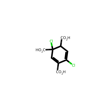 O=C(O)C1=CC(Cl)(C(=O)O)C(C(=O)O)C=C1Cl